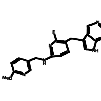 COc1ccc(CNc2ccc(Cc3c[nH]c4ncncc34)c(F)n2)cn1